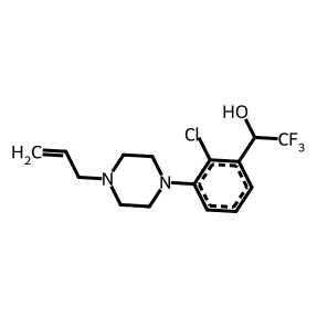 C=CCN1CCN(c2cccc(C(O)C(F)(F)F)c2Cl)CC1